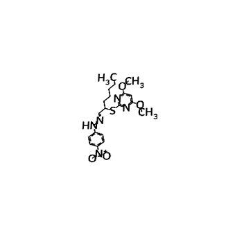 CCCCCC(C=NNc1ccc([N+](=O)[O-])cc1)Sc1nc(OC)cc(OC)n1